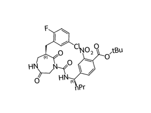 CCC[C@@H](NC(=O)N1CC(=O)NC[C@@H](Cc2cc(Cl)ccc2F)C1=O)c1ccc(C(=O)OC(C)(C)C)c([N+](=O)[O-])c1